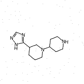 c1n[nH]c(C2CCCN(C3CCNCC3)C2)n1